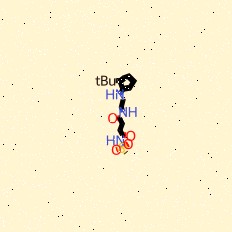 CC(C)(C)c1ccccc1NCCNC(=O)CCC(=O)NS(C)(=O)=O